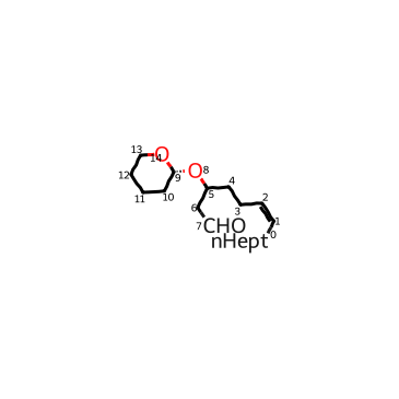 CCCCCCC/C=C\CCC(CC=O)O[C@@H]1CCCCO1